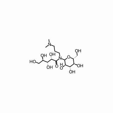 CN(C)CCCN(C(=O)[C@@H](O)[C@H](O)[C@H](O)CO)C1O[C@H](CO)[C@@H](O)[C@H](O)[C@H]1O